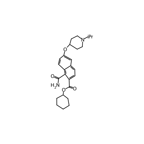 CC(C)N1CCC(Oc2ccc3c(C(N)=O)c(C(=O)OC4CCCCC4)ccc3c2)CC1